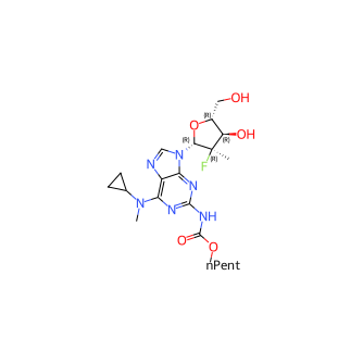 CCCCCOC(=O)Nc1nc(N(C)C2CC2)c2ncn([C@@H]3O[C@H](CO)[C@@H](O)[C@@]3(C)F)c2n1